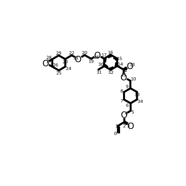 C=CC(=O)OCC1CCC(COC(=O)c2ccc(OCCOCC3CCC4OC4C3)c(C)c2)CC1